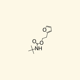 CC(C)(C)NC(=O)OCCc1ccco1